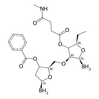 B[C@@H]1O[C@H](CC)C(OC(=O)CCC(=O)NC)[C@@H]1OC[C@H]1O[C@@H](B)CC1OC(=O)c1ccccc1